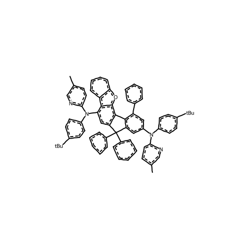 Cc1ccc(N(c2ccc(C(C)(C)C)cc2)c2cc(-c3ccccc3)c3c(c2)C(c2ccccc2)(c2ccccc2)c2cc(N(c4ccc(C(C)(C)C)cc4)c4ccc(C)cn4)c4c(oc5ccccc54)c2-3)nc1